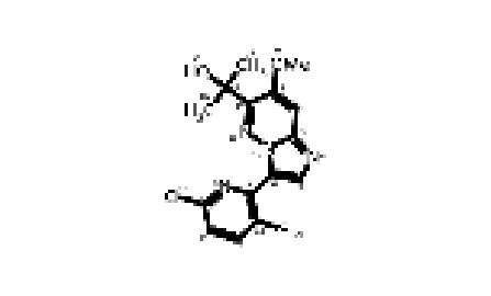 COc1cc2ncc(-c3nc(Cl)ccc3F)n2nc1C(C)(C)O